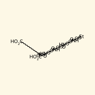 CCOCCOCCNC(=O)COCCOCCNC(=O)COCCOCCNC(=O)COCCOCCNC(=O)CC[C@H](NC(=O)CCCCCCCCCCCCCCCCCCC(=O)O)C(=O)O